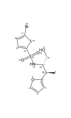 C[C@@H](c1ccco1)[C@@H](CO)NS(=O)(=O)c1ccc(Br)s1